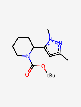 Cc1cc(C2CCCCN2C(=O)OC(C)(C)C)n(C)n1